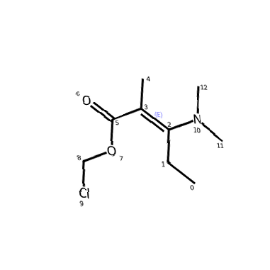 CC/C(=C(/C)C(=O)OCCl)N(C)C